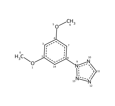 COc1cc(OC)cc(-n2n[c]nn2)c1